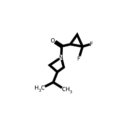 CC(C)C1CN(C(=O)C2CC2(F)F)C1